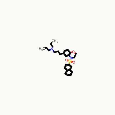 CCCN(CCC)CCCc1ccc2c(c1)N(S(=O)(=O)c1ccc3ccccc3c1)CCO2